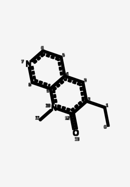 CCc1cc2ccncc2n(C)c1=O